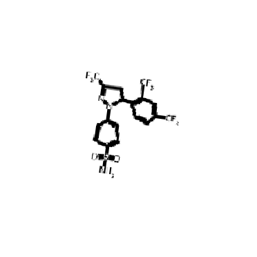 NS(=O)(=O)c1ccc(N2N=C(C(F)(F)F)CC2c2ccc(C(F)(F)F)cc2C(F)(F)F)cc1